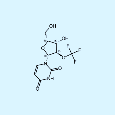 O=c1ccn([C@@H]2O[C@H](CO)[C@H](O)[C@H]2OC(F)(F)F)c(=O)[nH]1